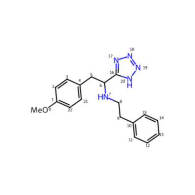 COc1ccc(CC(NCCc2ccccc2)c2nnn[nH]2)cc1